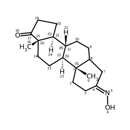 C[C@]12CCC(=NO)CC1CC[C@@H]1[C@@H]2CC[C@]2(C)C(=O)CC[C@@H]12